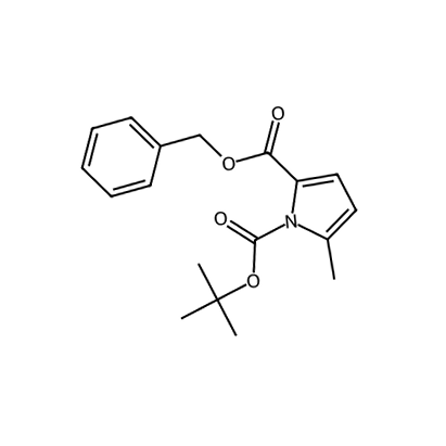 Cc1ccc(C(=O)OCc2ccccc2)n1C(=O)OC(C)(C)C